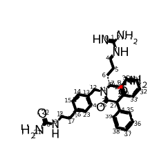 N=C(N)NCCC[C@H](C(N)=O)N(Cc1ccc(CCNC(N)=O)cc1)C(=O)C(c1ccccc1)c1ccccc1